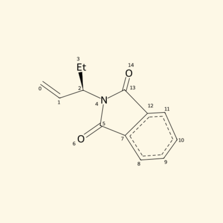 C=C[C@@H](CC)N1C(=O)c2ccccc2C1=O